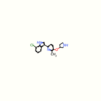 Cc1nc(-c2c[nH]c3c(Cl)cccc23)ccc1OC1CCNC1